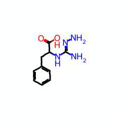 NN=C(N)NC(Cc1ccccc1)C(=O)O